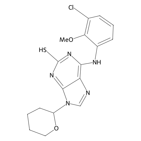 COc1c(Cl)cccc1Nc1nc(S)nc2c1ncn2C1CCCCO1